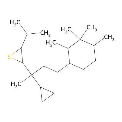 CC(C)C1SC1C(C)(CCC1CCC(C)C(C)(C)C1C)C1CC1